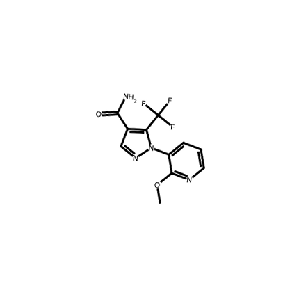 COc1ncccc1-n1ncc(C(N)=O)c1C(F)(F)F